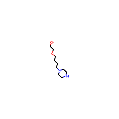 OCCOCCCCN1CCNCC1